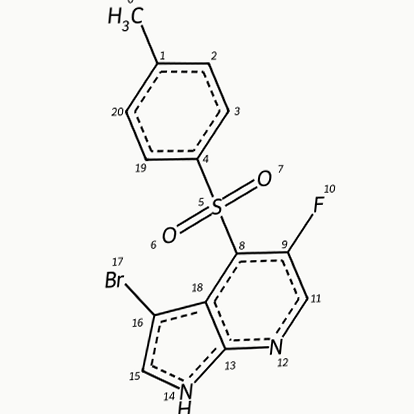 Cc1ccc(S(=O)(=O)c2c(F)cnc3[nH]cc(Br)c23)cc1